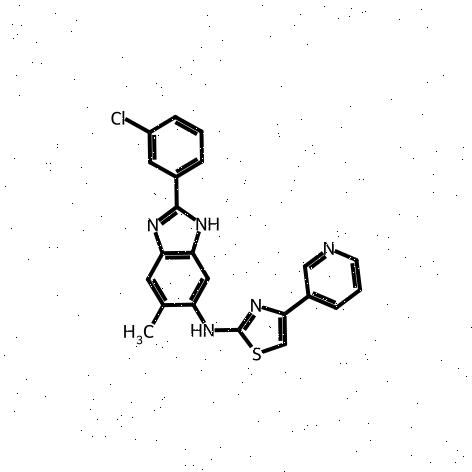 Cc1cc2nc(-c3cccc(Cl)c3)[nH]c2cc1Nc1nc(-c2cccnc2)cs1